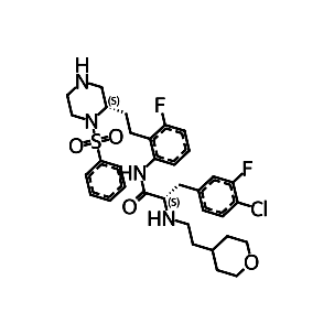 O=C(Nc1cccc(F)c1CC[C@H]1CNCCN1S(=O)(=O)c1ccccc1)[C@H](Cc1ccc(Cl)c(F)c1)NCCC1CCOCC1